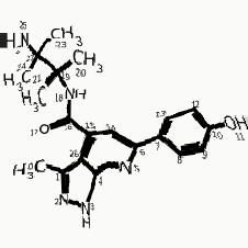 Cc1n[nH]c2nc(-c3ccc(O)cc3)cc(C(=O)NC(C)(C)C(C)(C)N)c12